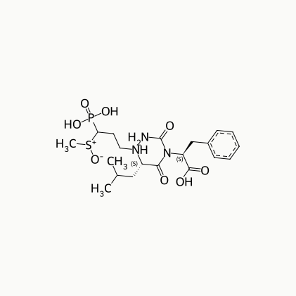 CC(C)C[C@H](NCCC([S+](C)[O-])P(=O)(O)O)C(=O)N(C(N)=O)[C@@H](Cc1ccccc1)C(=O)O